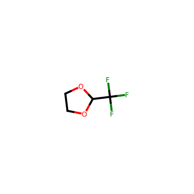 FC(F)(F)C1OCCO1